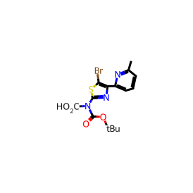 Cc1cccc(-c2nc(N(C(=O)O)C(=O)OC(C)(C)C)sc2Br)n1